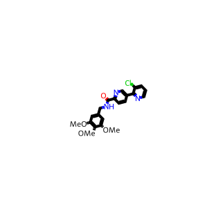 COc1cc(CNC(=O)c2ccc(-c3ncccc3Cl)cn2)cc(OC)c1OC